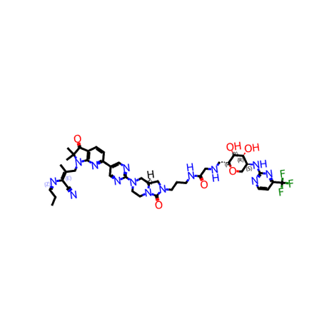 CC/C=N\C(C#N)=C(/C)CN1c2nc(-c3cnc(N4CCN5C(=O)N(CCCNC(=O)CNC[C@H]6OC[C@H](Nc7nccc(C(F)(F)F)n7)[C@@H](O)[C@H]6O)C[C@@H]5C4)nc3)ccc2C(=O)C1(C)C